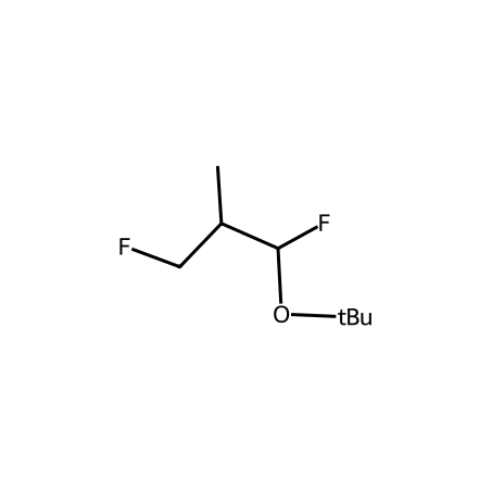 CC(CF)C(F)OC(C)(C)C